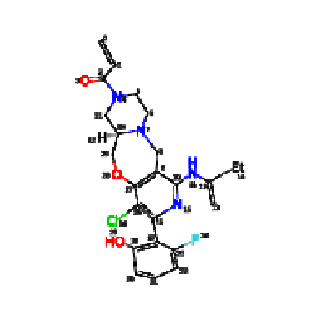 C=CC(=O)N1CCN2Cc3c(NC(=C)CC)nc(-c4c(O)cccc4F)c(Cl)c3OC[C@H]2C1